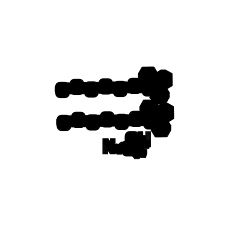 CC(C)N(C(C)C)P(O)OCCC#N.COCCOCCOCCOCCOCCOCCOC(c1ccccc1)(c1ccccc1)c1ccccc1.COCCOCCOCCOCCOCCOCCOC(c1ccccc1)(c1ccccc1)c1ccccc1